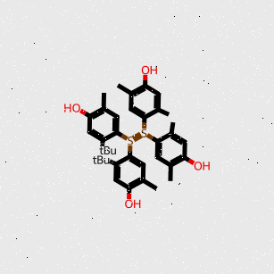 Cc1cc(S(c2cc(C)c(O)cc2C)=S(c2cc(C)c(O)cc2C(C)(C)C)c2cc(C)c(O)cc2C(C)(C)C)c(C)cc1O